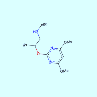 CCCCNCC(Oc1nc(OC)cc(OC)n1)C(C)C